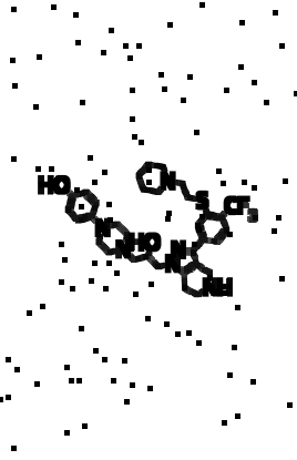 Oc1ccc(N2CCN(CC(O)Cn3nc(-c4ccc(C(F)(F)F)c(SCCN5CCCCC5)c4)c4c3CCNC4)CC2)cc1